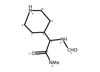 CNC(=O)C(N[C]=O)C1CCNCC1